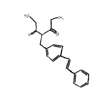 CCC(=O)C(Cc1ccc(C=Cc2ccccc2)cc1)C(=O)CC